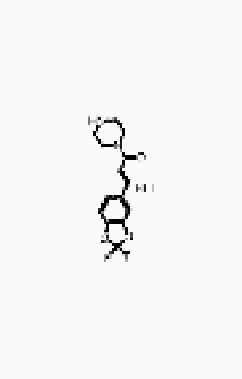 Cl.O=C(/C=C/c1ccc2c(c1)OC(F)(F)O2)N1CCNCC1